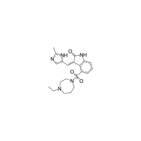 CCN1CCCN(S(=O)(=O)c2cccc3c2/C(=C/c2cnc(C)[nH]2)C(=O)N3)CC1